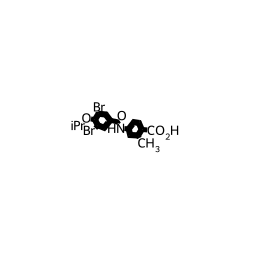 Cc1cc(NC(=O)c2cc(Br)c(OC(C)C)c(Br)c2)ccc1C(=O)O